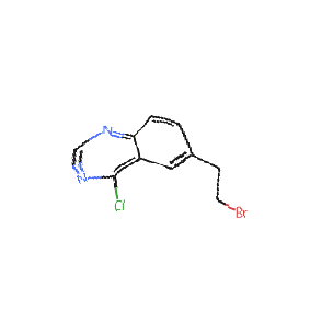 Clc1ncnc2ccc(CCBr)cc12